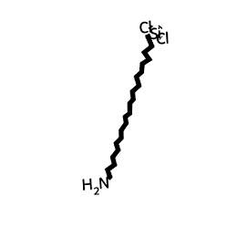 C[Si](Cl)(Cl)CCCCCCCCCCCCCCCCCCCCCCN